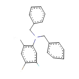 COc1cc(Br)c(F)cc1N(Cc1ccccc1)Cc1ccccc1